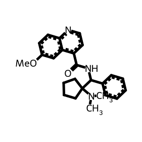 COc1ccc2nccc(C(=O)NC(c3ccccc3)C3(N(C)C)CCCC3)c2c1